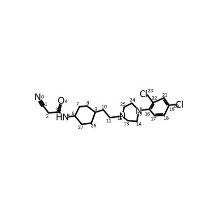 N#CCC(=O)NC1CCC(CCN2CCN(c3ccc(Cl)cc3Cl)CC2)CC1